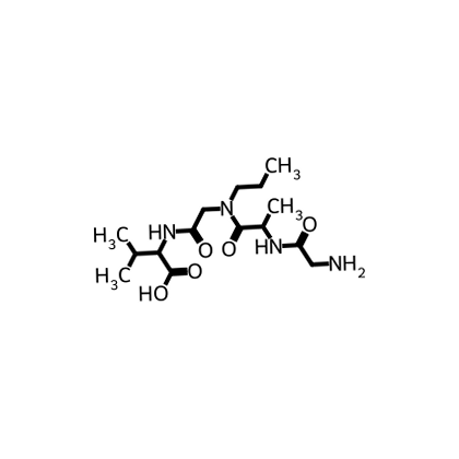 CCCN(CC(=O)NC(C(=O)O)C(C)C)C(=O)C(C)NC(=O)CN